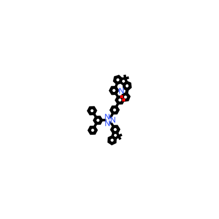 CC1(C)c2ccccc2-c2cc(-c3nc(-c4ccc(-c5cccc(-c6cccc7c6-n6c8ccccc8c8ccc9c(c86)-c6c-7cccc6C9(C)C)c5)cc4)nc(-c4cc(-c5ccccc5)cc(-c5ccccc5)c4)n3)ccc21